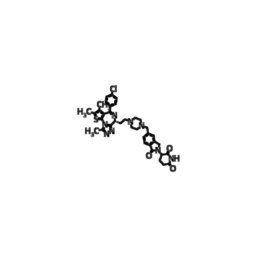 Cc1sc2c(c1C)C(c1ccc(Cl)cc1)=N[C@@H](CCN1CCN(Cc3ccc4c(c3)CN(C3CCC(=O)NC3=O)C4=O)CC1)c1nnc(C)n1-2